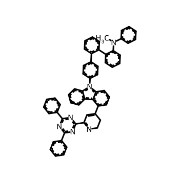 CN(c1ccccc1)c1ccccc1-c1ccccc1-c1ccc(-n2c3ccccc3c3c(C4=CC(c5nc(-c6ccccc6)nc(-c6ccccc6)n5)=NCC4)cccc32)cc1